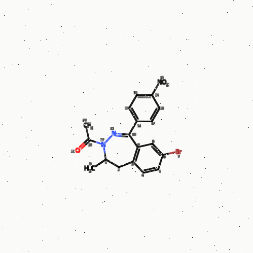 CC1Cc2ccc(Br)cc2C(c2ccc([N+](=O)[O-])cc2)=NN1C(=O)C(F)(F)F